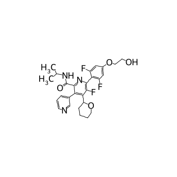 CC(C)NC(=O)c1nc(-c2c(F)cc(OCCO)cc2F)c(F)c(C2CCCCO2)c1-c1cccnc1